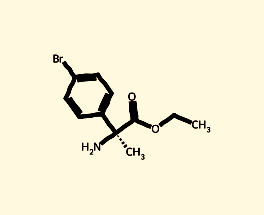 CCOC(=O)[C@@](C)(N)c1ccc(Br)cc1